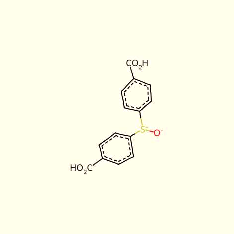 O=C(O)c1ccc([S+]([O-])c2ccc(C(=O)O)cc2)cc1